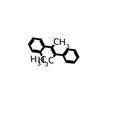 CC(=C(C)c1ccccc1C)c1ccccc1